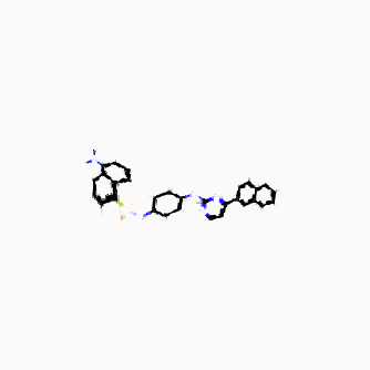 CN(C)c1cccc2c(S(=O)(=O)NC3CCC(Nc4nccc(-c5ccc6ccccc6c5)n4)CC3)cccc12